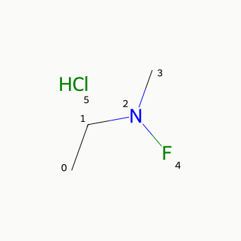 CCN(C)F.Cl